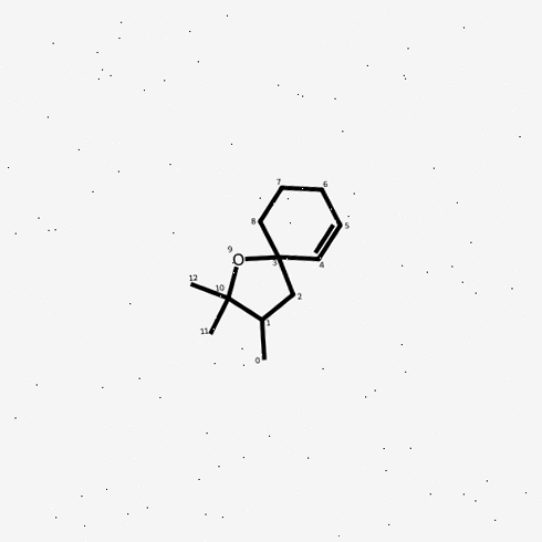 CC1CC2(C=CCCC2)OC1(C)C